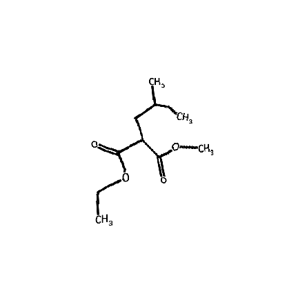 CCOC(=O)C(CC(C)C)C(=O)OC